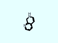 C1=Cc2cccnc2CN1